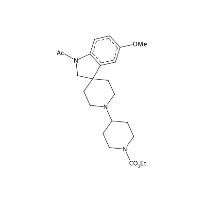 CCOC(=O)N1CCC(N2CCC3(CC2)CN(C(C)=O)c2ccc(OC)cc23)CC1